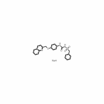 O=C(Nc1ccc(OCc2ccc3ccccc3n2)cc1)NS(=O)(=O)Cc1ccccc1.[NaH]